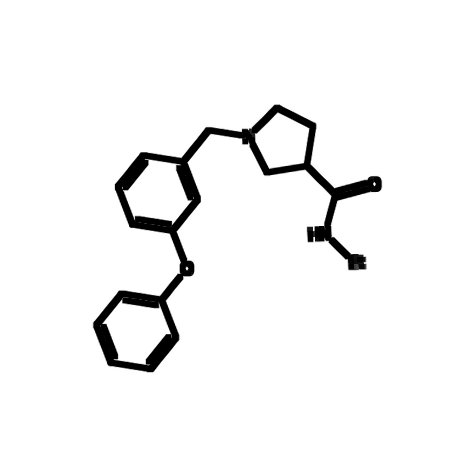 CCNC(=O)C1CCN(Cc2cccc(Oc3ccccc3)c2)C1